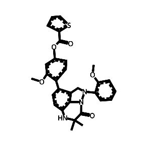 COc1cc(OC(=O)c2cccs2)ccc1-c1ccc2c3c1CN(c1ccccc1OC)N3C(=O)C(C)(C)N2